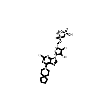 O=P(O)(O)CP(=O)(O)OC[C@H]1O[C@@H](n2cnc3c(N4CCC5(CCCC5)CC4)nc(Cl)nc32)C(O)C1O